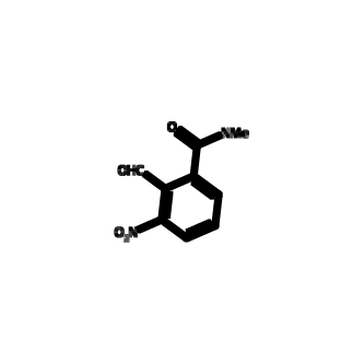 CNC(=O)c1cccc([N+](=O)[O-])c1C=O